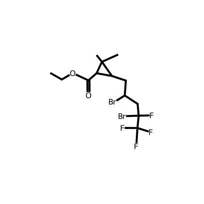 CCOC(=O)C1C(CC(Br)CC(F)(Br)C(F)(F)F)C1(C)C